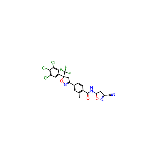 Cc1cc(C2=NO[C@@](c3cc(Cl)c(Cl)c(Cl)c3)(C(F)(F)F)C2)ccc1C(=O)NC1CC(C#N)=NO1